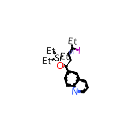 CC/C(I)=C/C[C@H](O[Si](CC)(CC)CC)c1ccc2ncccc2c1